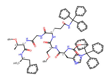 C[C@@H](OC(C)(C)C)[C@H](NC(=O)CNC(=O)[C@H](CCC(=O)NC(c1ccccc1)(c1ccccc1)c1ccccc1)NC(=O)[C@H](COC(C)(C)C)NC(=O)[C@H](Cc1cn(C(c2ccccc2)(c2ccccc2)c2ccccc2)cn1)NC(=O)OC(C)(C)C)C(=O)N[C@@H](Cc1ccccc1)C(=O)O